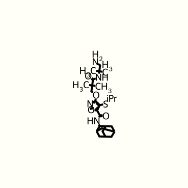 CC(C)Sc1c(OCC(C)(C)C(=O)NC(C)(C)CN)noc1C(=O)NC1C2CC3CC(C2)CC1C3